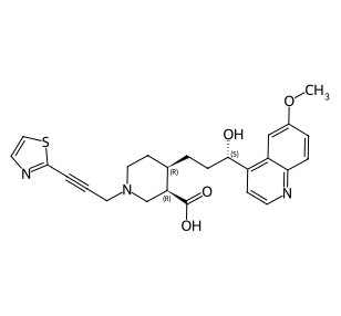 COc1ccc2nccc([C@@H](O)CC[C@@H]3CCN(CC#Cc4nccs4)C[C@@H]3C(=O)O)c2c1